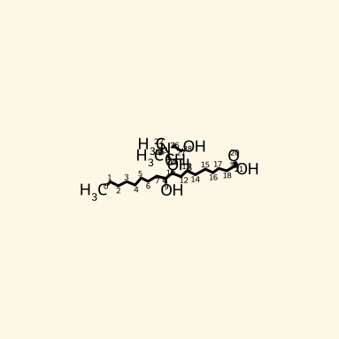 CCCCCCCCC(O)C(O)CCCCCCCC(=O)O.C[N+](C)(C)CCO